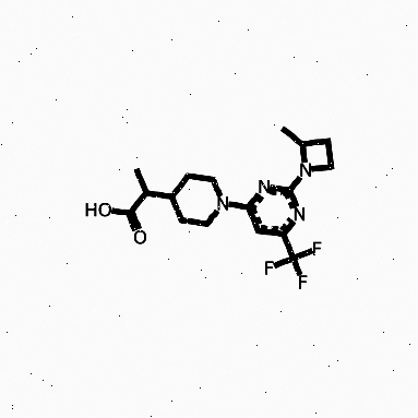 CC(C(=O)O)C1CCN(c2cc(C(F)(F)F)nc(N3CCC3C)n2)CC1